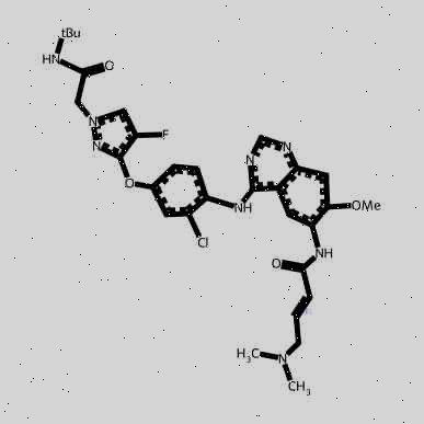 COc1cc2ncnc(Nc3ccc(Oc4nn(CC(=O)NC(C)(C)C)cc4F)cc3Cl)c2cc1NC(=O)/C=C/CN(C)C